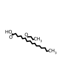 CCCC=O.CCCCCCCCCCCCCCCC(=O)O